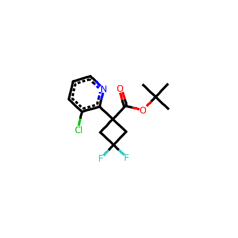 CC(C)(C)OC(=O)C1(c2ncccc2Cl)CC(F)(F)C1